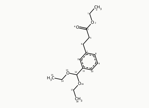 CCOC(=O)CCc1cccc(C(OCC)OCC)c1